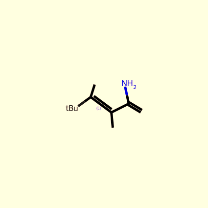 C=C(N)/C(C)=C(\C)C(C)(C)C